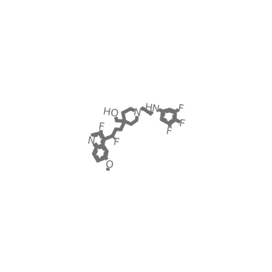 COc1ccc2ncc(F)c([C@H](F)CCC3(CO)CCN(CCNc4cc(F)c(F)c(F)c4)CC3)c2c1